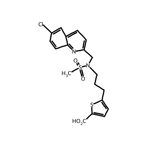 CS(=O)(=O)N(CCCc1ccc(C(=O)O)s1)Cc1ccc2cc(Cl)ccc2n1